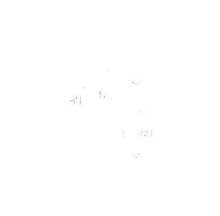 COc1cccc(/C=C2/SC(=O)NC2=O)c1N1CCNCC1.Cl